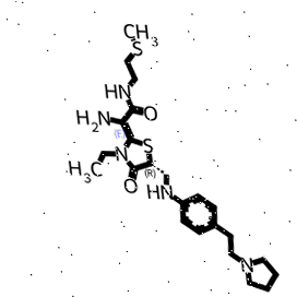 CCN1C(=O)[C@@H](CNc2ccc(CCN3CCCC3)cc2)S/C1=C(/N)C(=O)NCCSC